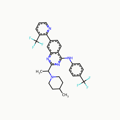 CC1CCN(C(C)c2nc(Nc3ccc(C(F)(F)F)cc3)c3ccc(-c4ncccc4C(F)(F)F)cc3n2)CC1